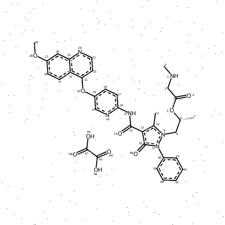 CNCC(=O)O[C@H](C)Cn1c(C)c(C(=O)Nc2ccc(Oc3ccnc4cc(OC)ccc34)cn2)c(=O)n1-c1ccccc1.O=C(O)C(=O)O